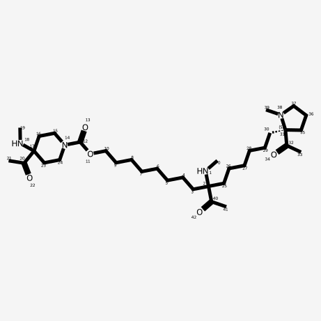 CNC(CCCCCCCCOC(=O)N1CCC(NC)(C(C)=O)CC1)(CCCCCC[C@@]1(C(C)=O)CCCN1C)C(C)=O